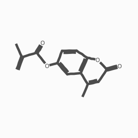 C=C(C)C(=O)Oc1ccc2oc(=O)cc(C)c2c1